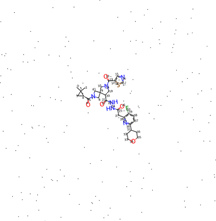 CC1(C)C[C@@H]1C(=O)N1CC2(CN(C(=O)c3cncs3)CC2C(=O)NNC(=O)Cc2nc(C3CCOCC3)ccc2F)C1